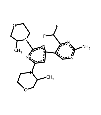 CC1COCCN1c1cc(-c2cnc(N)nc2C(F)F)nc(N2CCOCC2C)n1